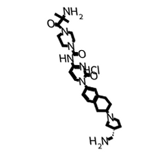 CC(C)(N)C(=O)N1CCN(C(=O)Nc2ccn(-c3ccc4c(c3)CCC(N3CC[C@H](CN)C3)C4)c(=O)n2)CC1.Cl